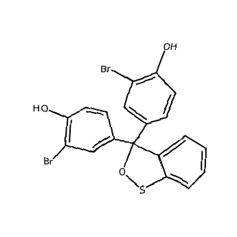 Oc1ccc(C2(c3ccc(O)c(Br)c3)OSc3ccccc32)cc1Br